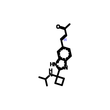 CC(=O)/C=C/c1ccc2nc(C3(NC(C)C)CCC3)[nH]c2c1